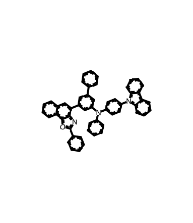 c1ccc(-c2cc(-c3cc4ccccc4c4oc(-c5ccccc5)nc34)cc(N(c3ccccc3)c3ccc(-n4c5ccccc5c5ccccc54)cc3)c2)cc1